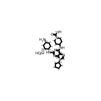 CCCC(=O)N1CCC(Nc2nc(N[C@H]3CC[C@H](N)CC3)nc3c2ncn3C2CCCC2)CC1.Cl.Cl